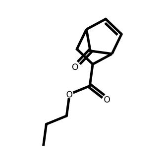 CCCOC(=O)C1CC2C=CC1C2=O